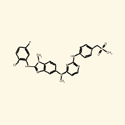 CN(c1ccc2c(c1)nc(Nc1cc(F)ccc1Cl)n2C)c1ccnc(Nc2ccc(CS(C)(=O)=O)cc2)n1